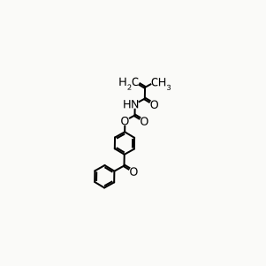 C=C(C)C(=O)NC(=O)Oc1ccc(C(=O)c2ccccc2)cc1